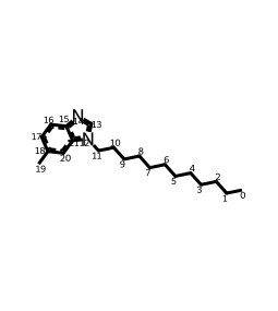 CCCCCCCCCCCCn1cnc2ccc(C)cc21